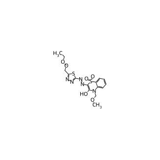 CCOOCc1nnc(N=NC2=C(O)N(COC)c3ccccc3S2(=O)=O)s1